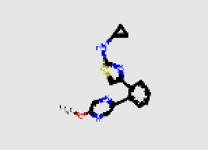 COc1cnc(-c2ccccc2-c2csc(NC3CC3)n2)cn1